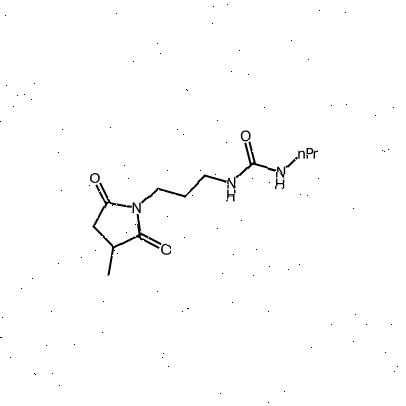 CCCNC(=O)NCCCN1C(=O)CC(C)C1=O